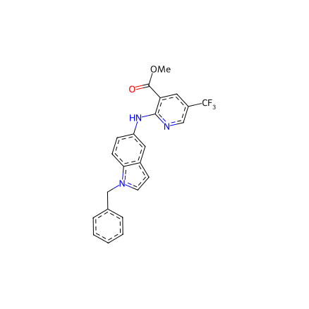 COC(=O)c1cc(C(F)(F)F)cnc1Nc1ccc2c(ccn2Cc2ccccc2)c1